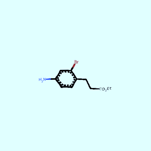 CCOC(=O)CCc1ccc(N)cc1Br